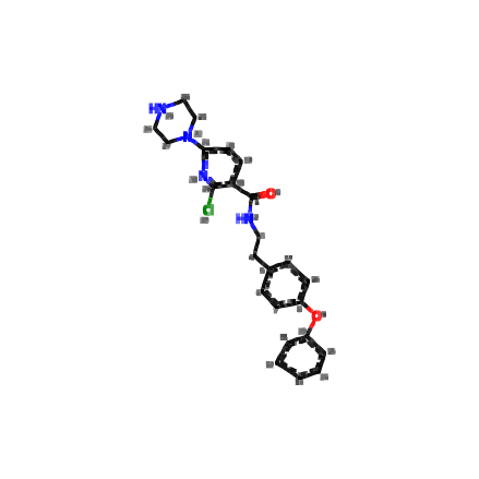 O=C(NCCc1ccc(Oc2ccccc2)cc1)c1ccc(N2CCNCC2)nc1Cl